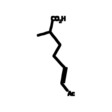 CC(=O)C=CCCC(C)C(=O)O